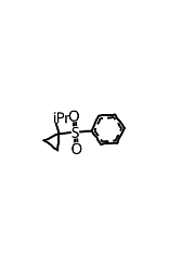 CC(C)C1(S(=O)(=O)c2ccccc2)CC1